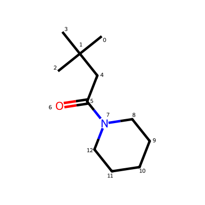 CC(C)(C)[CH]C(=O)N1CCCCC1